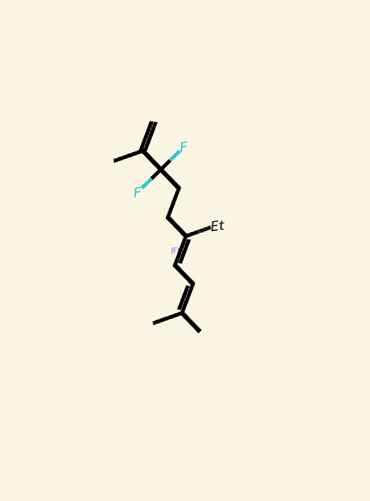 C=C(C)C(F)(F)CC/C(=C/C=C(C)C)CC